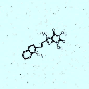 Cn1c(=O)c2c(nc(/C=C/c3ccc4ccccc4[n+]3C)n2C)n(C)c1=O